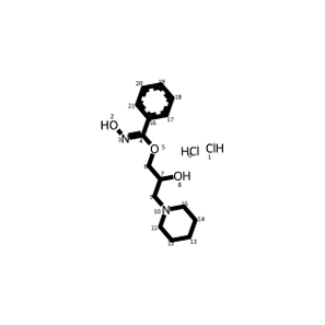 Cl.Cl.ON=C(OCC(O)CN1CCCCC1)c1ccccc1